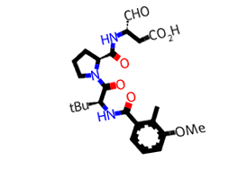 COc1cccc(C(=O)N[C@H](C(=O)N2CCC[C@H]2C(=O)N[C@H](C=O)CC(=O)O)C(C)(C)C)c1C